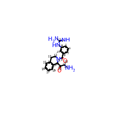 N=C(N)Nc1cccc(C(=O)N2[C]Cc3ccccc3C2C(=O)CN)c1